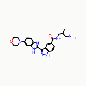 CC(CN)CNC(=O)c1ccc2[nH]nc(-c3nc4ccc(N5CCOCC5)cc4[nH]3)c2c1